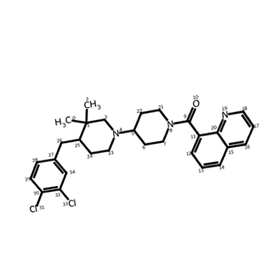 CC1(C)CN(C2CCN(C(=O)c3cccc4cccnc34)CC2)CCC1Cc1ccc(Cl)c(Cl)c1